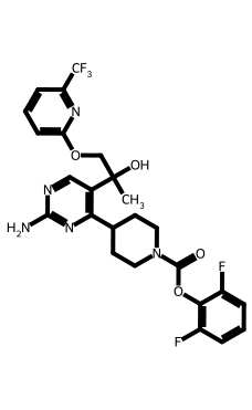 CC(O)(COc1cccc(C(F)(F)F)n1)c1cnc(N)nc1C1CCN(C(=O)Oc2c(F)cccc2F)CC1